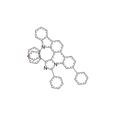 c1ccc(-c2ccc3c4ccc5c6ccccc6n(-c6ccccc6)c5c4c4c(-c5ccccc5)nc(-c5ccccc5)n4c3c2)cc1